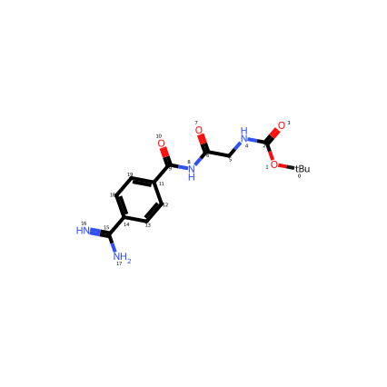 CC(C)(C)OC(=O)NCC(=O)NC(=O)c1ccc(C(=N)N)cc1